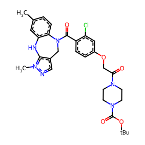 Cc1ccc2c(c1)Nc1c(cnn1C)CN2C(=O)c1ccc(OCC(=O)N2CCN(C(=O)OC(C)(C)C)CC2)cc1Cl